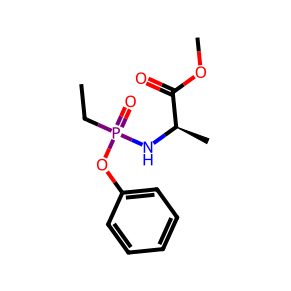 CCP(=O)(N[C@H](C)C(=O)OC)Oc1ccccc1